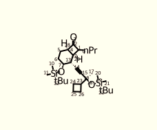 CCCC1C(=O)[C@@H]2CC[C@H](O[Si](C)(C)C(C)(C)C)[C@@H](C#C[C@@](C)(O[Si](C)(C)C(C)(C)C)C3CCC3)[C@H]12